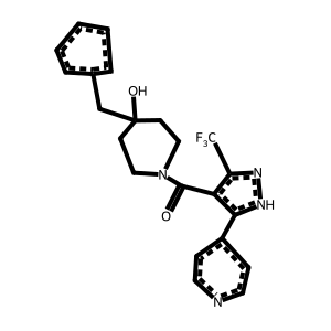 O=C(c1c(C(F)(F)F)n[nH]c1-c1ccncc1)N1CCC(O)(Cc2ccccc2)CC1